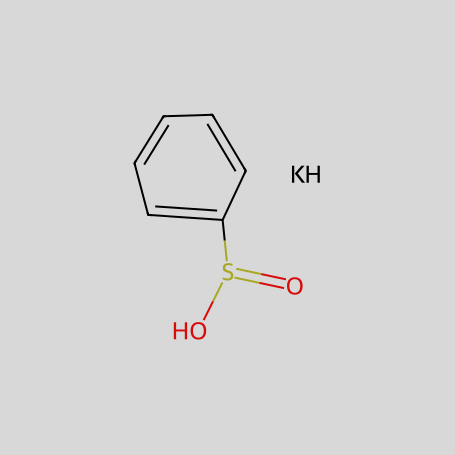 O=S(O)c1ccccc1.[KH]